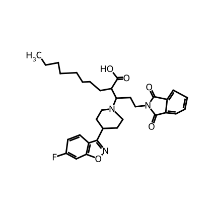 CCCCCCCCC(C(=O)O)C(CCN1C(=O)c2ccccc2C1=O)N1CCC(c2noc3cc(F)ccc23)CC1